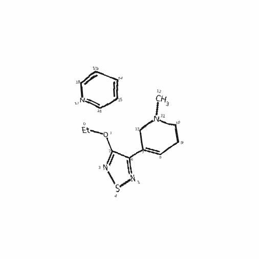 CCOc1nsnc1C1=CCCN(C)C1.c1ccncc1